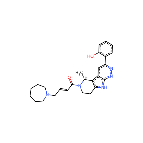 C[C@@H]1c2c([nH]c3nnc(-c4ccccc4O)cc23)CCN1C(=O)C=CCN1CCCCCC1